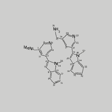 CNc1cncc(-c2cc3ccccc3n2C)c1.Cn1c(-c2cncc(CN)c2)cc2ccccc21